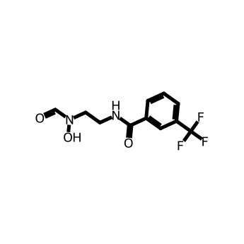 O=CN(O)CCNC(=O)c1cccc(C(F)(F)F)c1